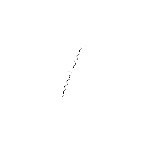 CCCCCCCCCCCCCCCCCCNONCCCCCCCCCCCCCCCCCC.Cl